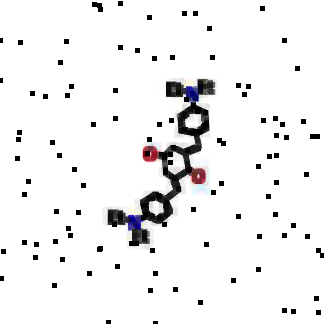 CCN(CC)c1ccc(C=C2CC(=O)CC(=Cc3ccc(N(CC)CC)cc3)C2=O)cc1